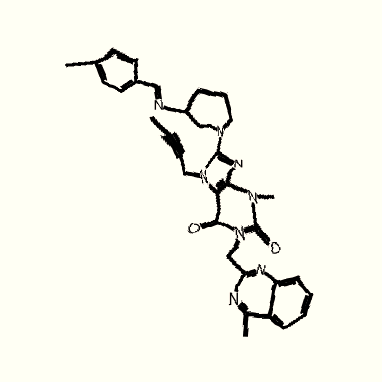 CC#CCn1c(N2CCCC(/N=C/c3ccc(C)cc3)C2)nc2c1c(=O)n(Cc1nc(C)c3ccccc3n1)c(=O)n2C